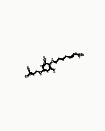 CC(C)CON=CCCCCOc1c(Cl)cc(OCC=C(Cl)Cl)cc1Cl